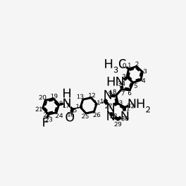 Cc1cccc2cc(-c3nc([C@H]4CC[C@H](C(=O)Nc5cccc(F)c5)CC4)n4ncnc(N)c34)[nH]c12